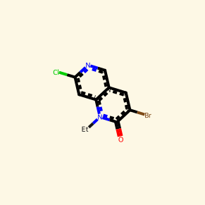 CCn1c(=O)c(Br)cc2cnc(Cl)cc21